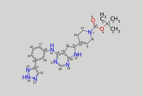 CC(C)(C)OC(=O)N1CC=C(C2Cc3c(Nc4cccc(-c5cn[nH]n5)c4)ncnc3N2)CC1